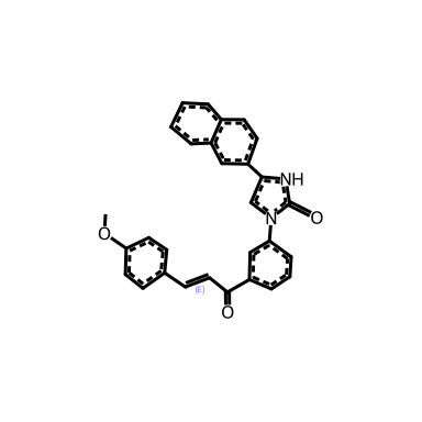 COc1ccc(/C=C/C(=O)c2cccc(-n3cc(-c4ccc5ccccc5c4)[nH]c3=O)c2)cc1